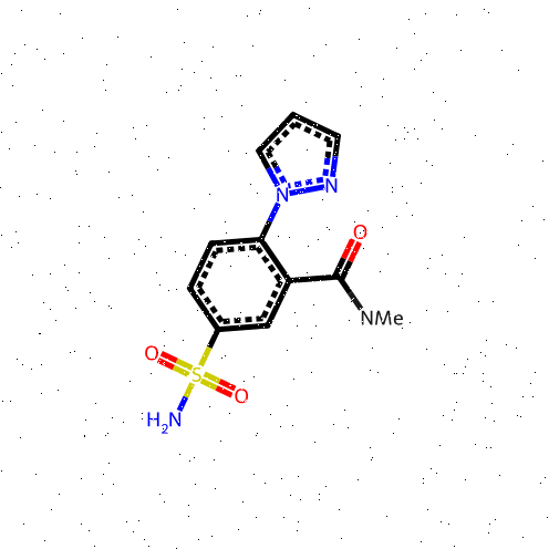 CNC(=O)c1cc(S(N)(=O)=O)ccc1-n1cccn1